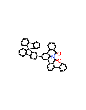 O=c1c2ccccc2c2cc(-c3ccc4c(c3)C3(c5ccccc5-c5ccccc53)c3ccccc3-4)cc3c4cccc(-c5ccccc5)c4c(=O)n1c23